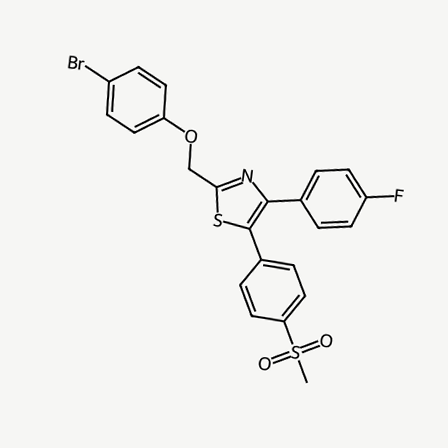 CS(=O)(=O)c1ccc(-c2sc(COc3ccc(Br)cc3)nc2-c2ccc(F)cc2)cc1